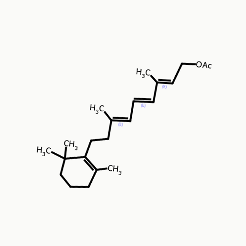 CC(=O)OC/C=C(C)/C=C/C=C(\C)CCC1=C(C)CCCC1(C)C